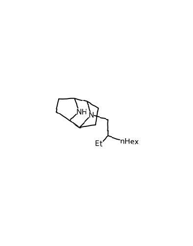 CCCCCCC(CC)CN1C2CCC1C1CCC2N1